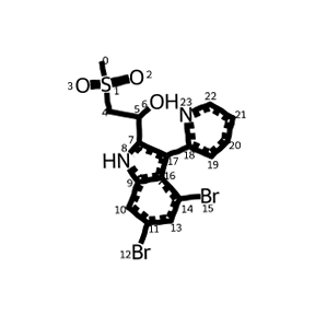 CS(=O)(=O)CC(O)c1[nH]c2cc(Br)cc(Br)c2c1-c1ccccn1